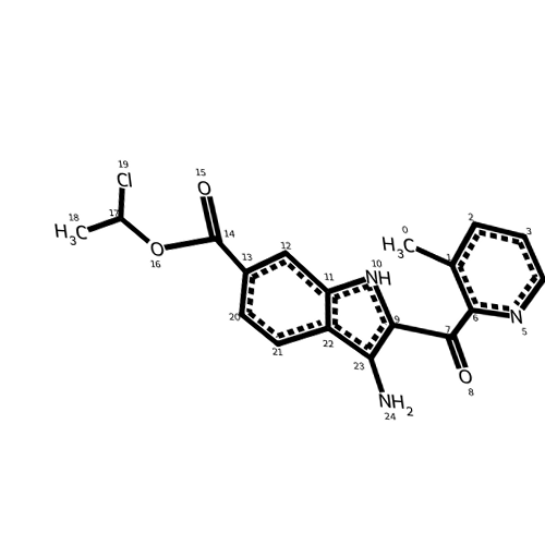 Cc1cccnc1C(=O)c1[nH]c2cc(C(=O)OC(C)Cl)ccc2c1N